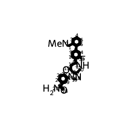 CNCc1ccccc1-c1ccc(C2CC(=O)c3c(ncn3-c3cccc(C(N)=O)c3)CN2)c(F)c1